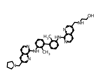 Cc1c(Nc2nccc3cc(CNCCO)cnc23)cccc1-c1cccc(Nc2nccc3cc(CN4CCCC4)cnc23)c1C